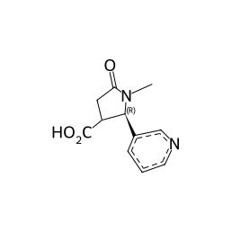 CN1C(=O)CC(C(=O)O)[C@@H]1c1cccnc1